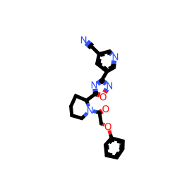 N#Cc1cncc(-c2noc(C3CCCCN3C(=O)COc3ccccc3)n2)c1